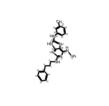 CCCNc1nc(NCCCc2ccccc2)nc2[nH]c(Nc3cccc(C)c3)nc12